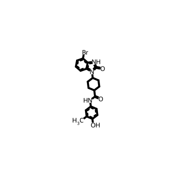 Cc1cc(NC(=O)C2CCC(n3c(=O)[nH]c4c(Br)cccc43)CC2)ccc1O